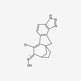 O/N=C1/C(Cl)=C2c3ccc4[nH]nnc4c3CC23CCC1C3